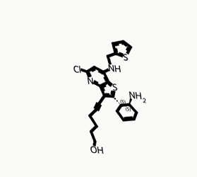 N[C@H]1CC=CC[C@@H]1c1sc2c(NCc3cccs3)cc(Cl)nc2c1C#CCCCCO